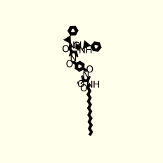 CCCCCCCCCCCCCCC(=O)N[C@H]1CN(C(=O)c2ccc(C(=O)N3CC(C(=O)N[C@H]4C[C@@H]4c4ccccc4)[C@H](C(=O)N[C@H]4C[C@@H]4c4ccccc4)C3)cc2)C[C@@H]1OC